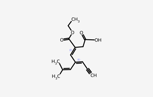 C#C/C=C(C=C(C)C)/C=C(\CC(=O)O)C(=O)OCC